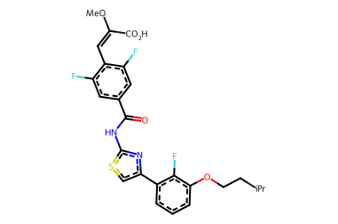 COC(=Cc1c(F)cc(C(=O)Nc2nc(-c3cccc(OCCC(C)C)c3F)cs2)cc1F)C(=O)O